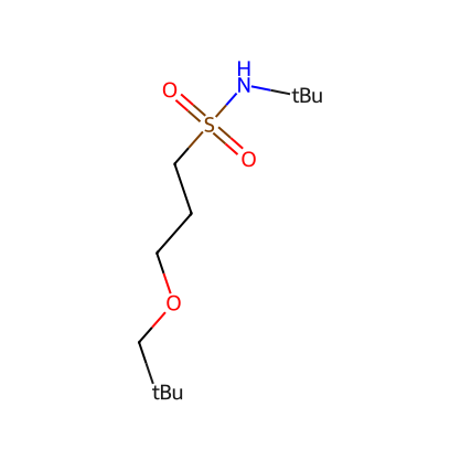 CC(C)(C)COCCCS(=O)(=O)NC(C)(C)C